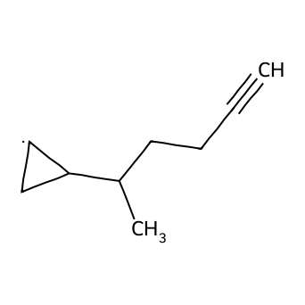 C#CCCC(C)C1[CH]C1